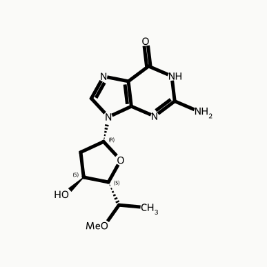 COC(C)[C@H]1O[C@@H](n2cnc3c(=O)[nH]c(N)nc32)C[C@@H]1O